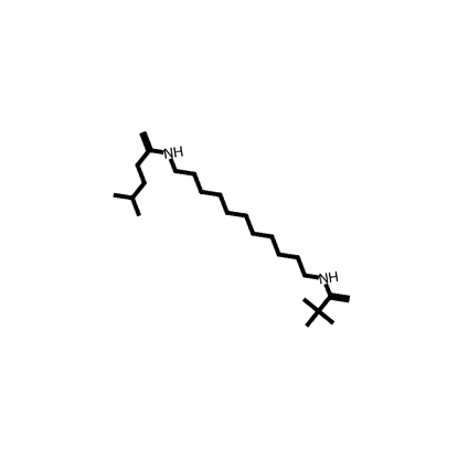 C=C(CCC(C)C)NCCCCCCCCCCCNC(=C)C(C)(C)C